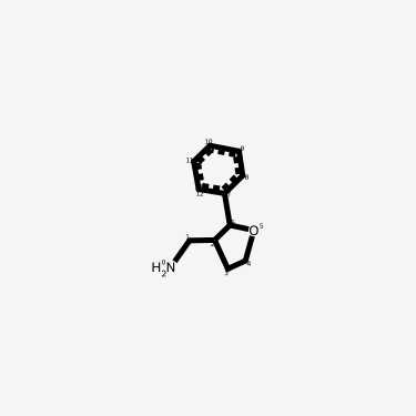 NCC1CCOC1c1ccccc1